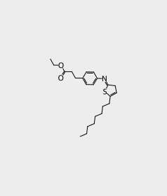 CCCCCCCCC1=CCC(=Nc2ccc(CCC(=O)OCC)cc2)S1